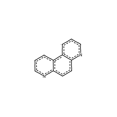 [c]1ccnc2ccc3ncccc3c12